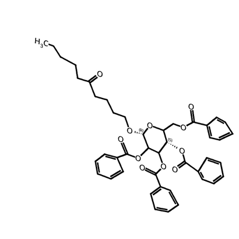 CCCCCC(=O)CCCCO[C@@H]1OC(COC(=O)c2ccccc2)[C@H](OC(=O)c2ccccc2)C(OC(=O)c2ccccc2)C1OC(=O)c1ccccc1